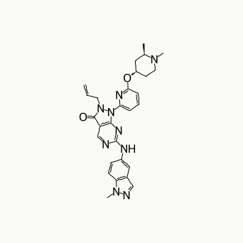 C=CCn1c(=O)c2cnc(Nc3ccc4c(cnn4C)c3)nc2n1-c1cccc(O[C@@H]2CCN(C)[C@H](C)C2)n1